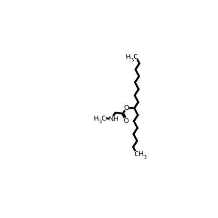 CCCCCCCCC(CCCCCCC)OC(=O)CNC